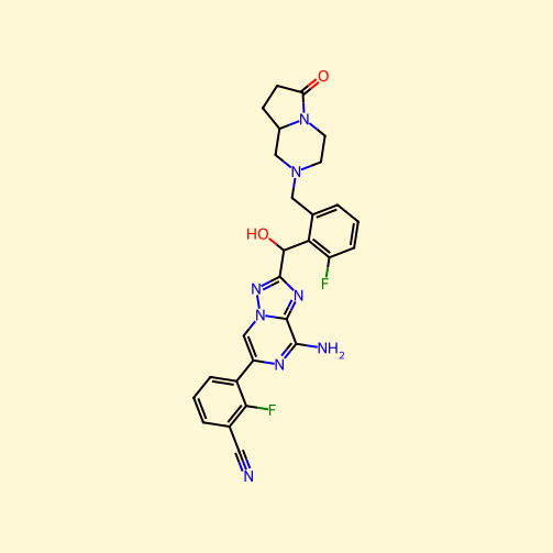 N#Cc1cccc(-c2cn3nc(C(O)c4c(F)cccc4CN4CCN5C(=O)CCC5C4)nc3c(N)n2)c1F